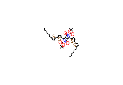 CCCCCCc1ccc(-c2ccc(C3=C4C(=O)N(C(=O)OC(C)(C)C)C(c5ccc(-c6ccc(CCCCCC)s6)s5)=C4C(=O)N3C(=O)OC(C)(C)C)s2)s1